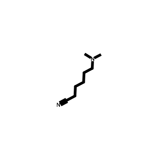 CN(C)CCCCCC#N